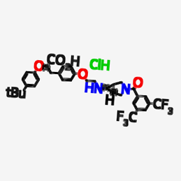 CC(C)(C)c1ccc(O[C@@H](Cc2ccc(OCCN[C@H]3C4CN(C(=O)c5cc(C(F)(F)F)cc(C(F)(F)F)c5)C[C@@H]43)cc2)C(=O)O)cc1.Cl